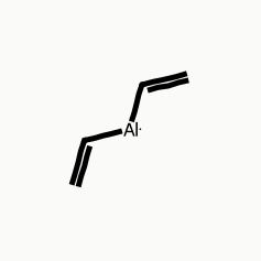 C=[CH][Al][CH]=C